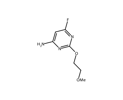 COCCOc1nc(N)cc(F)n1